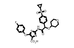 O=C(O)c1nc(NC(=O)C(OC2CCOCC2)c2ccc(S(=O)(=O)C3CC3)cc2)sc1Oc1ccc(F)cc1